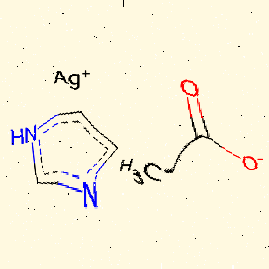 CC(=O)[O-].[Ag+].c1c[nH]cn1